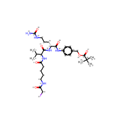 CC(C)C(NC(=O)CCCCNC(=O)CI)C(=O)N[C@H](CCCNC(N)=O)C(=O)Nc1ccc(COC(=O)C(C)(C)C)cc1